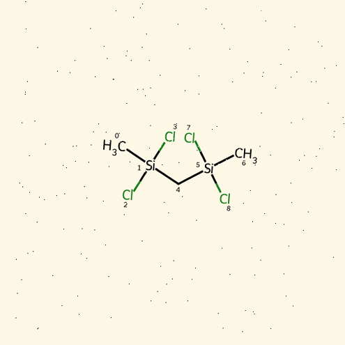 C[Si](Cl)(Cl)C[Si](C)(Cl)Cl